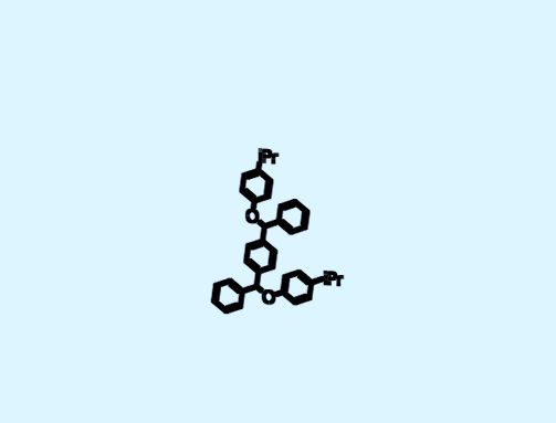 CC(C)c1ccc(OC(c2ccccc2)c2ccc(C(Oc3ccc(C(C)C)cc3)c3ccccc3)cc2)cc1